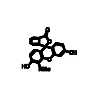 CNc1c(O)ccc2c1Oc1cc(O)ccc1C21OC(=O)c2ccccc21